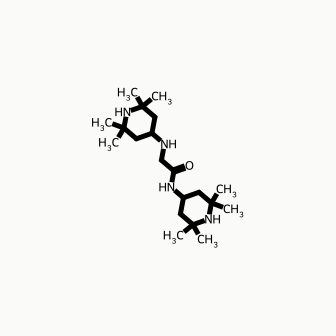 CC1(C)CC(NCC(=O)NC2CC(C)(C)NC(C)(C)C2)CC(C)(C)N1